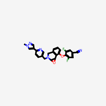 Cn1cc(-c2ccc(CN3Cc4cccc(Oc5c(F)cc(C#N)cc5F)c4C4OC43)cn2)cn1